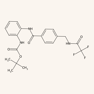 CC(C)(C)OC(=O)Nc1ccccc1NC(=O)c1ccc(CNC(=O)C(F)(F)F)cc1